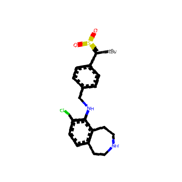 CC(C)(C)C(c1ccc(CNc2c(Cl)ccc3c2CCNCC3)cc1)=S(=O)=O